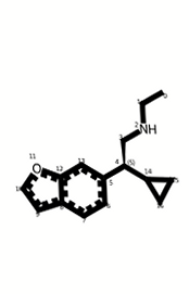 CCNC[C@H](c1ccc2ccoc2c1)C1CC1